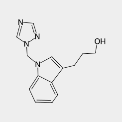 OCCCc1cn(Cn2cncn2)c2ccccc12